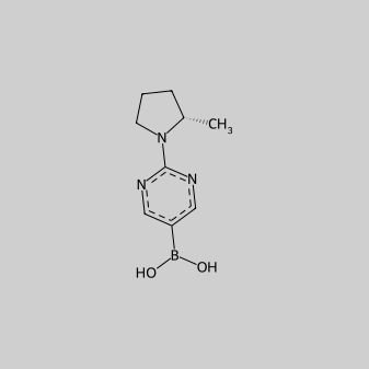 C[C@H]1CCCN1c1ncc(B(O)O)cn1